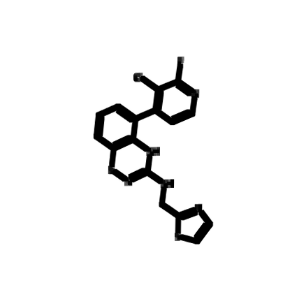 Fc1nccc(-c2cccc3c2NC(NCc2nccs2)=NS3)c1Cl